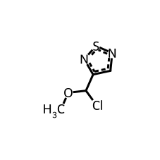 COC(Cl)c1cnsn1